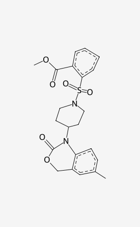 COC(=O)c1ccccc1S(=O)(=O)N1CCC(N2C(=O)OCc3cc(C)ccc32)CC1